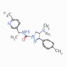 CC(=O)N(C)C1CN(C(=O)N[C@H](C)c2ccc(C(F)(F)F)nc2)N=C1c1ccc(C)cc1